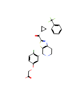 O=C(O)COc1ccc(Cl)c([C@@H]2NCCc3nc(C(=O)[C@H]4C[C@@H]4c4ccccc4C(F)(F)F)sc32)c1